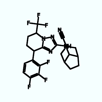 N#CN1CC2CCC(C1)C2Nc1nc2n(n1)C(C(F)(F)F)CCC2c1ccc(F)c(F)c1F